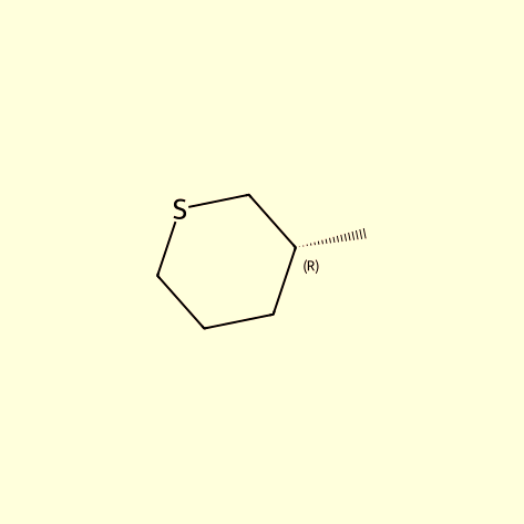 C[C@@H]1CCCSC1